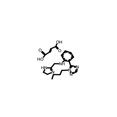 CCCCn1ncnc1-c1ccccc1NCC1=NCCN1.O=C(O)C=CC(=O)O